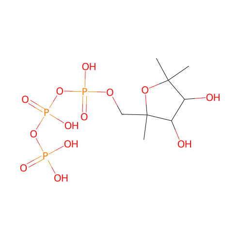 CC1(C)OC(C)(COP(=O)(O)OP(=O)(O)OP(=O)(O)O)C(O)C1O